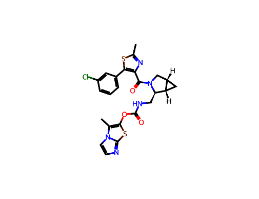 Cc1nc(C(=O)N2C[C@@H]3C[C@@H]3[C@H]2CNC(=O)Oc2sc3nccn3c2C)c(-c2cccc(Cl)c2)s1